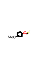 COc1ccc(OC=S)cc1